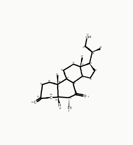 CC[C@H]1C(=O)C2C3CC[C@H]([C@H](C)CO)[C@@]3(C)CCC2[C@@]2(C)CCC(=O)C[C@@H]12